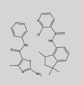 CC1CC(C)(C)c2cccc(NC(=O)c3cccnc3Cl)c21.Cc1nc(N)sc1C(=O)Nc1ccccc1